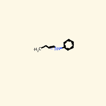 [CH2]C/C=C/Nc1ccccc1